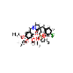 COc1cc(CN2CCC(CCS(C)(=O)=O)(Cc3ccc(F)cc3)C2=O)cc(OC)c1OC